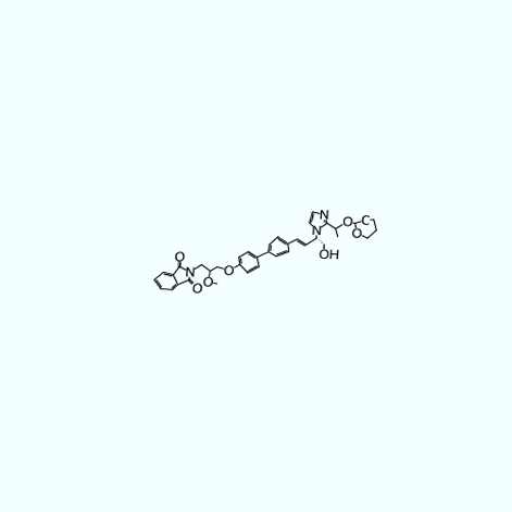 COC(COc1ccc(-c2ccc(/C=C/[C@@H](CO)n3ccnc3C(C)OC3CCCCO3)cc2)cc1)CN1C(=O)c2ccccc2C1=O